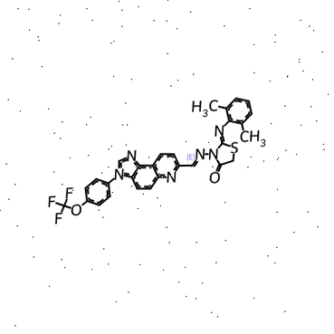 Cc1cccc(C)c1N=C1SCC(=O)N1/N=C/c1ccc2c(ccc3c2ncn3-c2ccc(OC(F)(F)F)cc2)n1